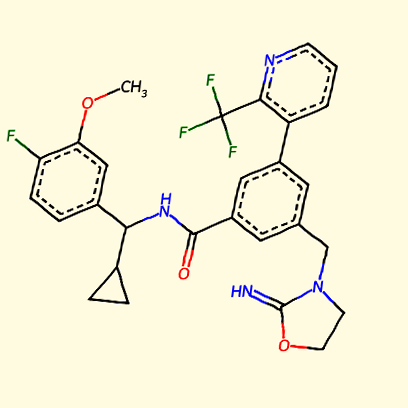 COc1cc(C(NC(=O)c2cc(CN3CCOC3=N)cc(-c3cccnc3C(F)(F)F)c2)C2CC2)ccc1F